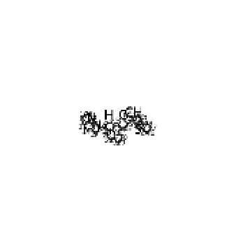 CC1(C)c2cc(-c3ccc(-c4ccc5ccc6cccnc6c5n4)c4ccc5ccccc5c34)ccc2-c2c1ccc1c2sc2ccccc21